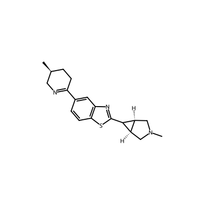 C[C@H]1CCC(c2ccc3sc(C4[C@H]5CN(C)C[C@@H]45)nc3c2)=NC1